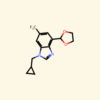 FC(F)(F)c1cc(C2OCCO2)c2ncn(CC3CC3)c2c1